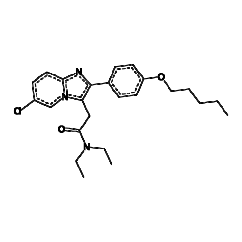 CCCCCOc1ccc(-c2nc3ccc(Cl)cn3c2CC(=O)N(CC)CC)cc1